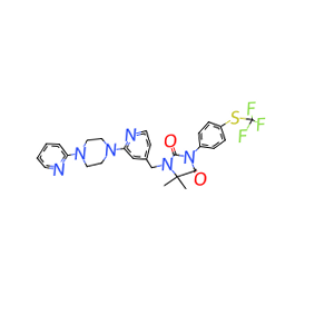 CC1(C)C(=O)N(c2ccc(SC(F)(F)F)cc2)C(=O)N1Cc1ccnc(N2CCN(c3ccccn3)CC2)c1